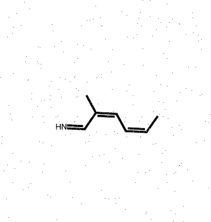 C/C=C\C=C(\C)C=N